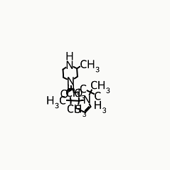 CC1CN(C(=O)OC2(C(C)(C)C)SC=CN2C(C)(C)C)CCN1